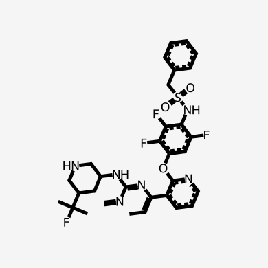 C=N/C(=N\C(=C/C)c1cccnc1Oc1cc(F)c(NS(=O)(=O)Cc2ccccc2)c(F)c1F)NC1CNCC(C(C)(C)F)C1